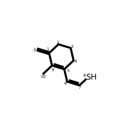 C=C1CCCC(/C=C\S)=C1C